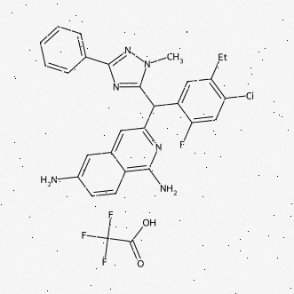 CCc1cc(C(c2cc3cc(N)ccc3c(N)n2)c2nc(-c3ccccc3)nn2C)c(F)cc1Cl.O=C(O)C(F)(F)F